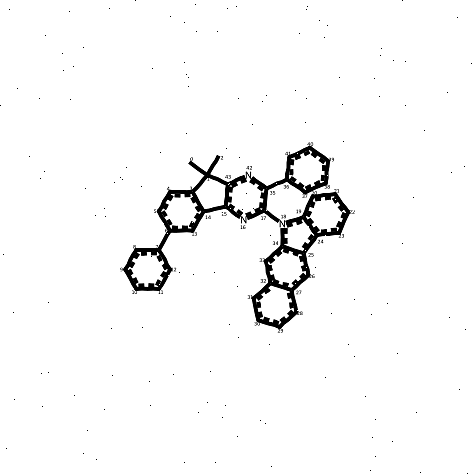 CC1(C)c2ccc(-c3ccccc3)cc2-c2nc(-n3c4ccccc4c4cc5ccccc5cc43)c(-c3ccccc3)nc21